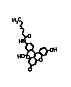 CCSCCC(=O)Nc1ccc(-c2c3ccc(=O)cc-3oc3cc(O)ccc23)c(C(=O)O)c1